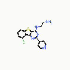 NCCNc1nc(-c2ccncc2)nc2c1sc1cccc(Cl)c12